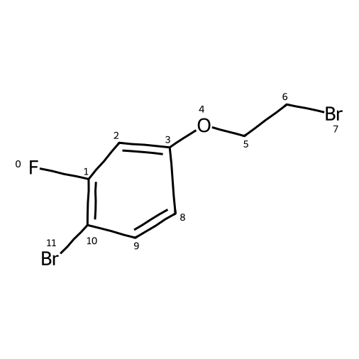 Fc1cc(OCCBr)ccc1Br